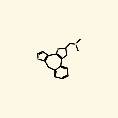 CN(C)CC1CC2=C(O1)c1ccsc1Cc1ccccc12